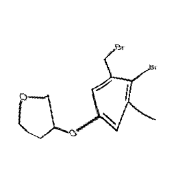 Cc1cc(OC2CCOC2)cc(CBr)c1Br